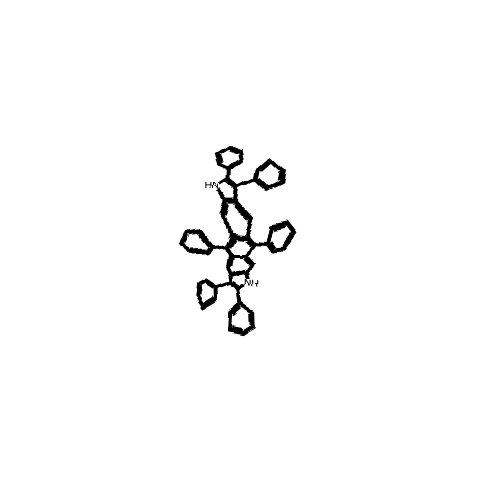 c1ccc(-c2[nH]c3cc4c(-c5ccccc5)c5cc6c(-c7ccccc7)c(-c7ccccc7)[nH]c6cc5c(-c5ccccc5)c4cc3c2-c2ccccc2)cc1